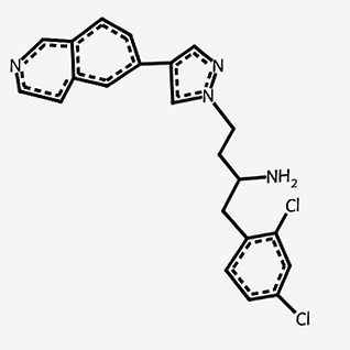 NC(CCn1cc(-c2ccc3cnccc3c2)cn1)Cc1ccc(Cl)cc1Cl